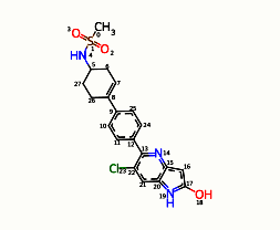 CS(=O)(=O)NC1CC=C(c2ccc(-c3nc4cc(O)[nH]c4cc3Cl)cc2)CC1